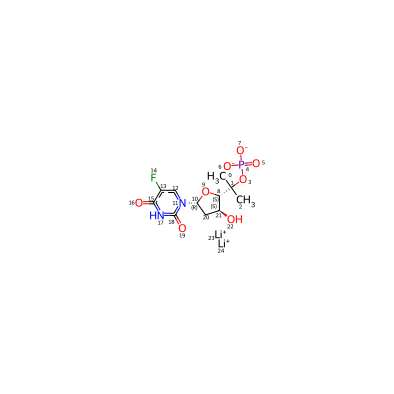 CC(C)(OP(=O)([O-])[O-])[C@H]1O[C@@H](n2cc(F)c(=O)[nH]c2=O)C[C@@H]1O.[Li+].[Li+]